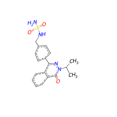 CC(C)n1nc(-c2ccc(CNS(N)(=O)=O)cc2)c2ccccc2c1=O